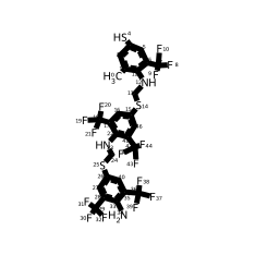 Cc1cc(S)cc(C(F)(F)F)c1NCSc1cc(C(F)(F)F)c(NCSc2cc(C(F)(F)F)c(N)c(C(F)(F)F)c2)c(C(F)(F)F)c1